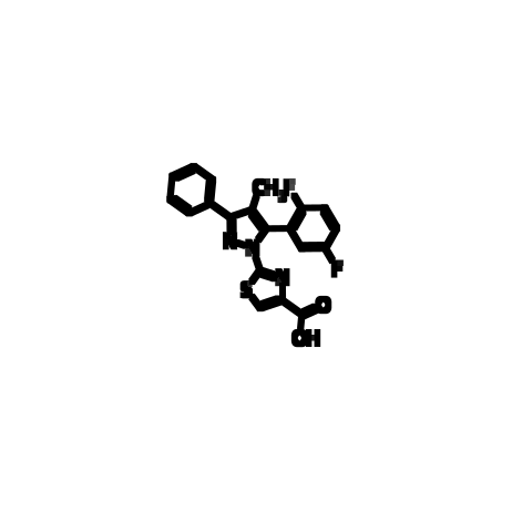 Cc1c(-c2ccccc2)nn(-c2nc(C(=O)O)cs2)c1-c1cc(F)ccc1F